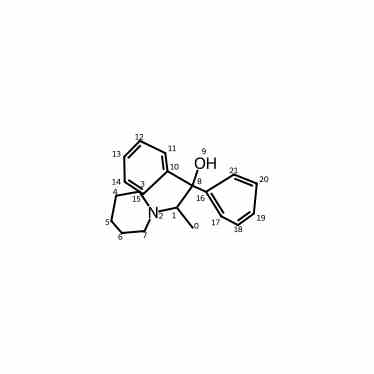 CC(N1CCCCC1)C(O)(c1ccccc1)c1ccccc1